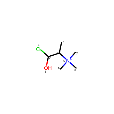 CC(C(O)Cl)[N+](C)(C)C